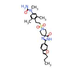 CCCc1cc2ccc(C3=NC4(CCN(S(=O)(=O)CCc5c(C)cc(N(C)C(N)=O)cc5C)CC4)C(=O)N3)cc2o1